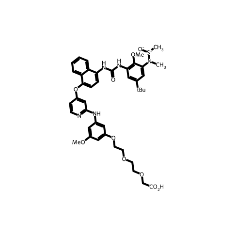 COc1cc(Nc2cc(Oc3ccc(NC(=O)Nc4cc(C(C)(C)C)cc(N(C)[S+](C)[O-])c4OC)c4ccccc34)ccn2)cc(OCCOCCOCC(=O)O)c1